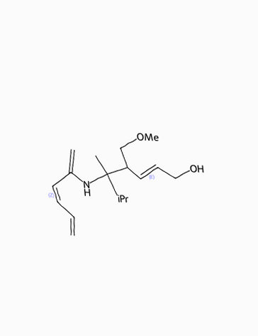 C=C/C=C\C(=C)NC(C)(C(C)C)C(/C=C/CO)COC